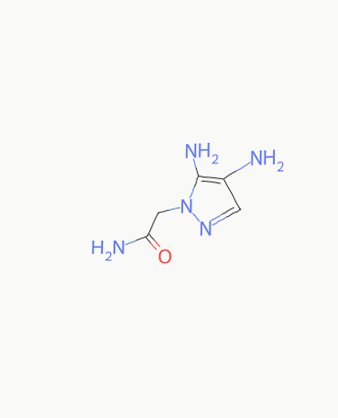 NC(=O)Cn1ncc(N)c1N